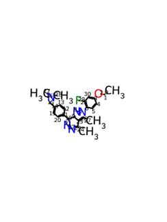 CCOc1ccc(-n2nc3c(-c4ccc(CN(C)C)cc4)nnc(C)c3c2C)c(F)c1